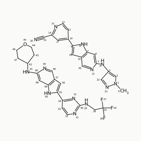 Cn1cc(Nc2cc3[nH]c(-c4ccnc(C#N)c4)cc3cn2)cn1.FC(F)(F)CNc1nccc(-c2cc3cnc(NC4CCOCC4)cc3[nH]2)n1